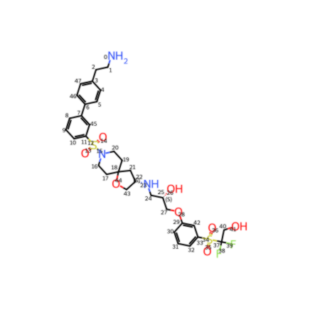 NCCc1ccc(-c2cccc(S(=O)(=O)N3CCC4(CC3)C[C@H](NC[C@H](O)COc3cccc(S(=O)(=O)C(F)(F)CO)c3)CO4)c2)cc1